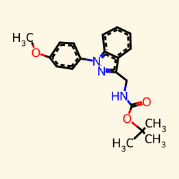 COc1ccc(-n2nc(CNC(=O)OC(C)(C)C)c3ccccc32)cc1